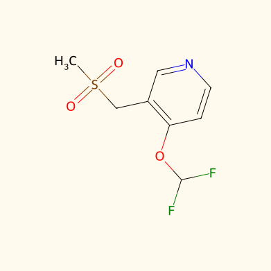 CS(=O)(=O)Cc1cnccc1OC(F)F